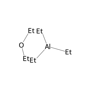 CCOCC.C[CH2][Al]([CH2]C)[CH2]C